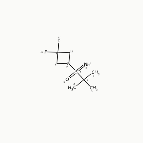 CC(C)(C)S(=N)(=O)N1CC(F)(F)C1